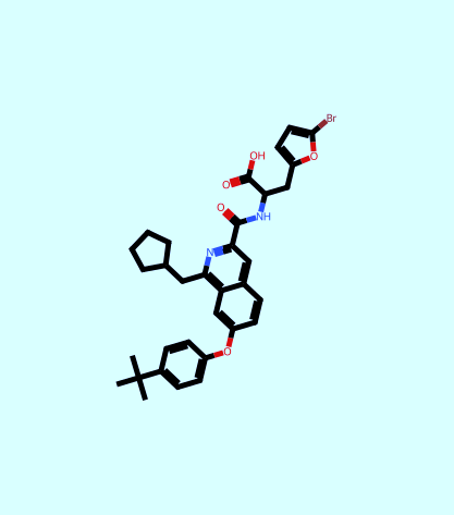 CC(C)(C)c1ccc(Oc2ccc3cc(C(=O)NC(Cc4ccc(Br)o4)C(=O)O)nc(CC4CCCC4)c3c2)cc1